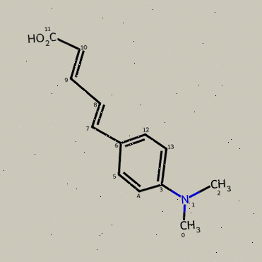 CN(C)c1ccc(/C=C/C=C/C(=O)O)cc1